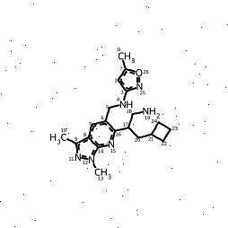 Cc1cc(NCc2cc3c(C)nn(C)c3nc2C(CN)CC2CCC2)no1